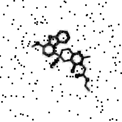 [C-]#[N+]C1(c2ccc(OC)c3oc4ccccc4c23)CCc2nc(C)n(CC(=O)OCC)c(=O)c2C1